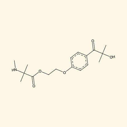 CNC(C)(C)C(=O)OCCOc1ccc(C(=O)C(C)(C)O)cc1